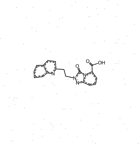 O=C(O)c1cccc2nn(CCc3ccc4ccccc4n3)c(=O)n12